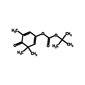 CC1=CC(OC(=O)OC(C)(C)C)=CC(C)(C)C1=O